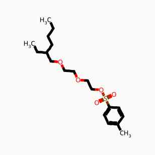 CCCCC(CC)COCCOCCOS(=O)(=O)c1ccc(C)cc1